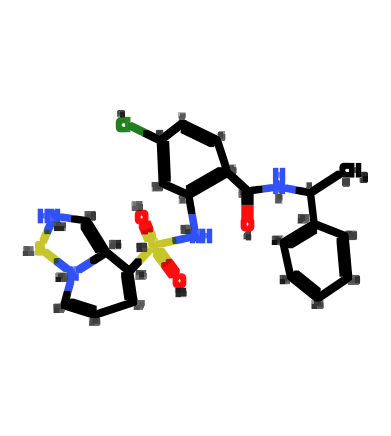 CC(NC(=O)c1ccc(Cl)cc1NS(=O)(=O)C1=CC=CN2SNC=C12)c1ccccc1